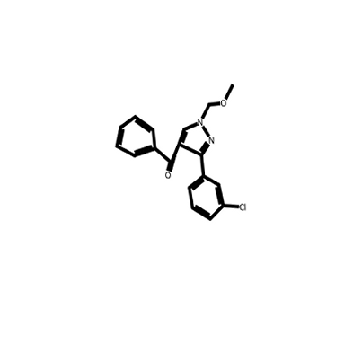 COCn1cc(C(=O)c2ccccc2)c(-c2cccc(Cl)c2)n1